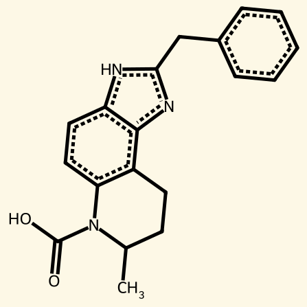 CC1CCc2c(ccc3[nH]c(Cc4ccccc4)nc23)N1C(=O)O